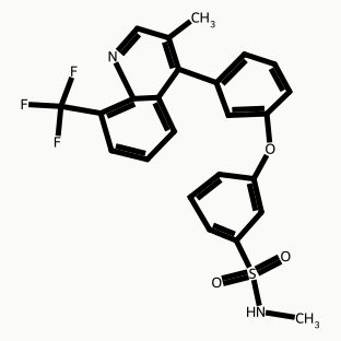 CNS(=O)(=O)c1cccc(Oc2cccc(-c3c(C)cnc4c(C(F)(F)F)cccc34)c2)c1